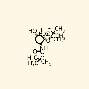 CC(C)(C)OC(=O)N[C@@H]1CC[C@H](O)C[C@H]1O[Si](C)(C)C(C)(C)C